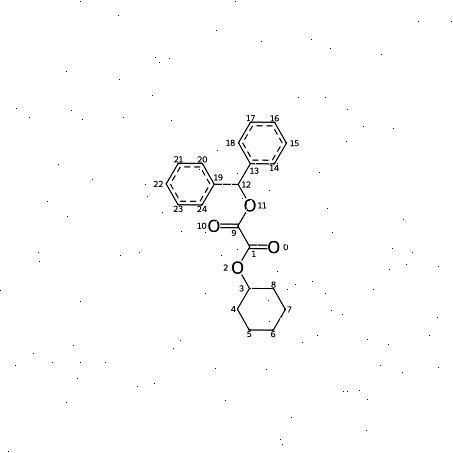 O=C(OC1CCCCC1)C(=O)OC(c1ccccc1)c1ccccc1